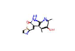 Cc1nc2c(c(C)c1O)C(=Cc1nccs1)C(=O)N2